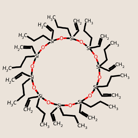 C=C[Si]1(CCC)O[Si](C=C)(CCC)O[Si](C=C)(CCC)O[Si](C=C)(CCC)O[Si](C=C)(CCC)O[Si](C=C)(CCC)O[Si](C=C)(CCC)O[Si](C=C)(CCC)O[Si](C=C)(CCC)O[Si](C=C)(CCC)O1